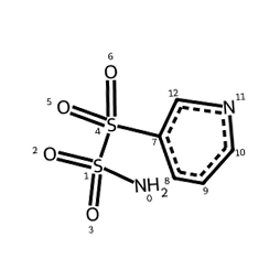 NS(=O)(=O)S(=O)(=O)c1cccnc1